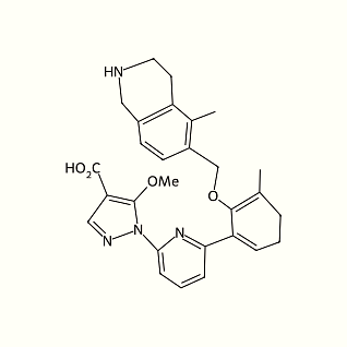 COc1c(C(=O)O)cnn1-c1cccc(C2=CCCC(C)=C2OCc2ccc3c(c2C)CCNC3)n1